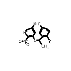 CC(Oc1cc(Br)cnc1[N+](=O)[O-])c1cc(F)ccc1Cl